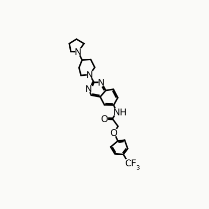 O=C(COc1ccc(C(F)(F)F)cc1)Nc1ccc2nc(N3CCC(N4CCCC4)CC3)ncc2c1